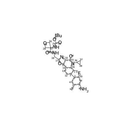 Cc1c(-c2cc(F)c(N)cc2F)ccc2c3oc(CNC(=O)C4(NC(=O)OC(C)(C)C)COC4)nc3c(=O)n(C3CC3)c12